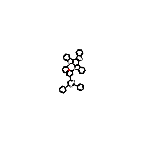 c1ccc(-c2cc(-c3cccc(-n4c5ccccc5c5c6oc7ccccc7c6c6c7ccccc7n(-c7ccccc7)c6c54)c3)nc(-c3ccccc3)n2)cc1